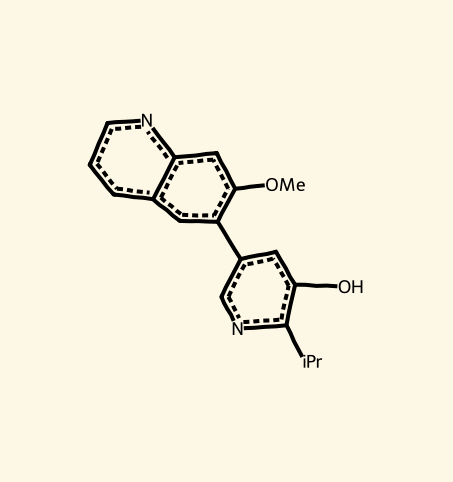 COc1cc2ncccc2cc1-c1cnc(C(C)C)c(O)c1